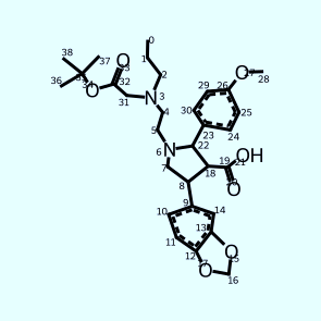 CCCN(CCN1CC(c2ccc3c(c2)OCO3)C(C(=O)O)C1c1ccc(OC)cc1)CC(=O)OC(C)(C)C